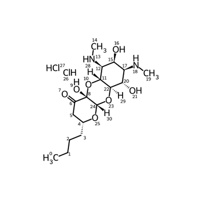 CCCC[C@@H]1CC(=O)[C@]2(O)O[C@@H]3[C@@H](NC)[C@@H](O)[C@@H](NC)[C@H](O)[C@H]3O[C@@H]2O1.Cl.Cl